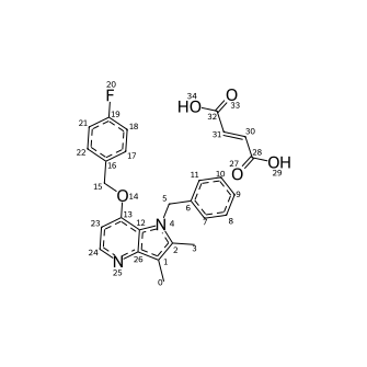 Cc1c(C)n(Cc2ccccc2)c2c(OCc3ccc(F)cc3)ccnc12.O=C(O)C=CC(=O)O